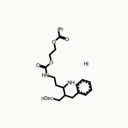 CCCCCCCCCCCC(Cc1ccccc1)C(N)CCNC(=O)OCCOC(=O)C(C)C.I